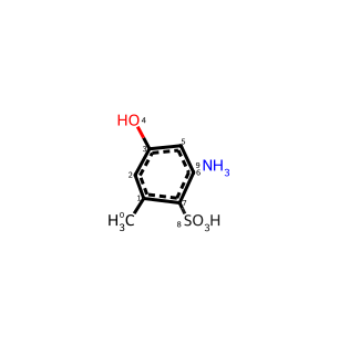 Cc1cc(O)ccc1S(=O)(=O)O.N